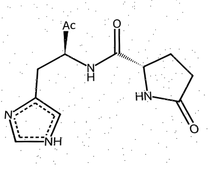 [CH2]C(=O)[C@H](Cc1c[nH]cn1)NC(=O)[C@@H]1CCC(=O)N1